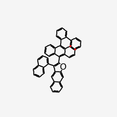 c1ccc(-c2ccccc2-c2c3ccccc3c(-c3oc4cc5ccccc5cc4c3-c3cccc4ccccc34)c3ccccc23)cc1